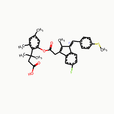 CSc1ccc(/C=C2/C(C)=C(CC(=O)Oc3cc(C)cc(C)c3C(C)(C)CC(=O)O)c3cc(F)ccc32)cc1